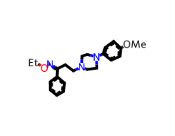 CCO/N=C(/CCN1CCN(c2ccc(OC)cc2)CC1)c1ccccc1